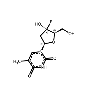 Cc1cn([C@H]2C[C@@](O)(F)[C@@H](CO)O2)c(=O)[nH]c1=O